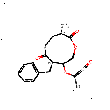 CCC(=C=O)OC1COC(=O)[C@@H](C)CCC(=O)[C@@H]1Cc1ccccc1